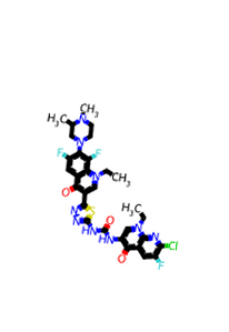 CCn1cc(NC(=O)Nc2nnc(-c3cn(CC)c4c(F)c(N5CCN(C)C(C)C5)c(F)cc4c3=O)s2)c(=O)c2cc(F)c(Cl)nc21